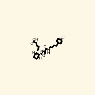 O=C(O)CC/C=C\C[C@@H]1[C@H](c2nc(C(=O)NCCCCc3ccc(Cl)cc3)co2)[C@H]2CC[C@@H]1O2